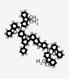 CC1(C)c2ccccc2-c2cc(N(c3ccc4c(c3)sc3cc5c(ccc6c5c5cc(-c7ccccc7)cc7c8ccc(N(c9ccc%10c(c9)-c9ccccc9C%10(C)C)c9cccc%10c9oc9ccccc9%10)cc8n6c75)cc34)c3cccc4c3oc3ccccc34)ccc21